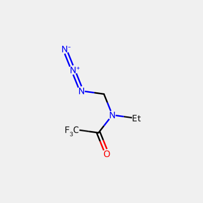 CCN(CN=[N+]=[N-])C(=O)C(F)(F)F